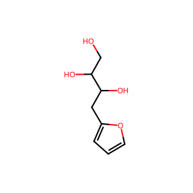 OCC(O)C(O)Cc1ccco1